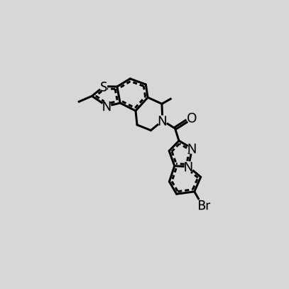 Cc1nc2c3c(ccc2s1)C(C)N(C(=O)c1cc2ccc(Br)cn2n1)CC3